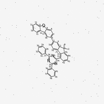 CC1(C)c2cc(-c3ccc4oc5ccccc5c4c3)ccc2-c2c(-c3nc(-c4ccccc4)nc(-c4ccccc4)n3)cccc21